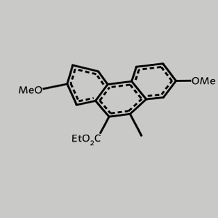 CCOC(=O)c1c(C)c2cc(OC)ccc2c2ccc(OC)cc12